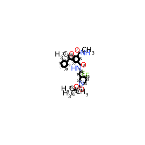 CNC(=O)c1cc(C(=O)NCCC2CN(C(=O)OC(C)(C)C)CCC2(F)F)cc2c1OC(C)C2c1ccccc1